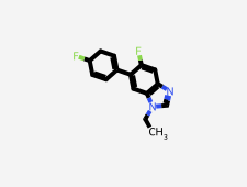 CCn1cnc2cc(F)c(C3=CCC(F)C=C3)cc21